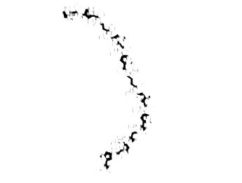 COC(=O)c1cc(NC(=O)c2nc(NC(=O)CCNC(=O)c3cc(NC(=O)c4nc(NC(=O)CCCNC(=O)c5cc(NC(=O)c6nc(NC(=O)CCNC(=O)c7cc(NC(=O)c8nccn8C)cn7C)cn6C)cn5C)cn4C)cn3C)cn2C)cn1C